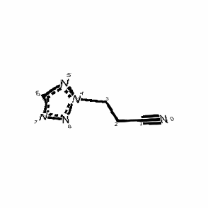 N#CCCn1n[c]nn1